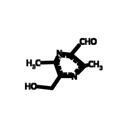 Cc1nc(CO)c(C)nc1C=O